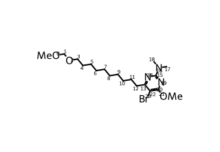 COCOCCCCCCCCCCc1nc(N(C)C)nc(OC)c1Br